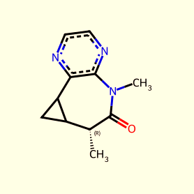 C[C@H]1C(=O)N(C)c2nccnc2C2CC21